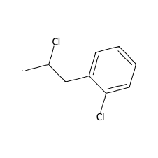 [CH2]C(Cl)Cc1ccccc1Cl